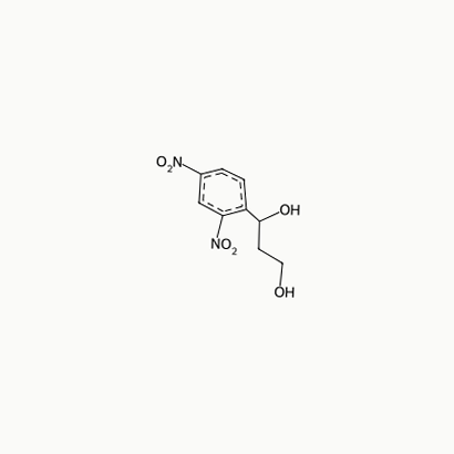 O=[N+]([O-])c1ccc(C(O)CCO)c([N+](=O)[O-])c1